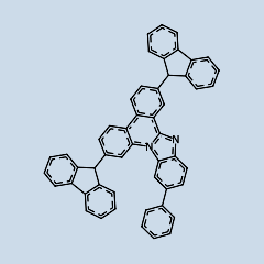 c1ccc(-c2ccc3nc4c5cc(C6c7ccccc7-c7ccccc76)ccc5c5ccc(C6c7ccccc7-c7ccccc76)cc5n4c3c2)cc1